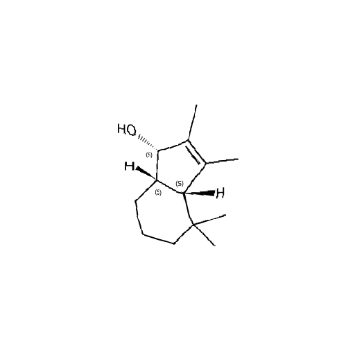 CC1=C(C)[C@H]2[C@H](CCCC2(C)C)[C@@H]1O